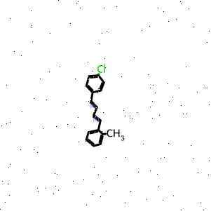 Cc1ccccc1/C=C/C=C/c1ccc(Cl)cc1